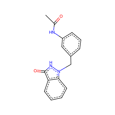 CC(=O)Nc1cccc(Cn2[nH]c(=O)c3ccccc32)c1